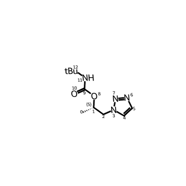 C[C@@H](Cn1ccnn1)OC(=O)NC(C)(C)C